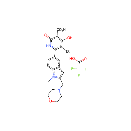 CCc1c(-c2ccc3c(c2)cc(CN2CCOCC2)n3C)[nH]c(=O)c(C(=O)O)c1O.O=C(O)C(F)(F)F